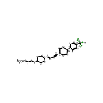 CCCCC[C@H]1CC[C@H](/C=C/C#C[C@H]2CC[C@H](c3ccc(C(F)(F)F)cc3)CC2)CC1